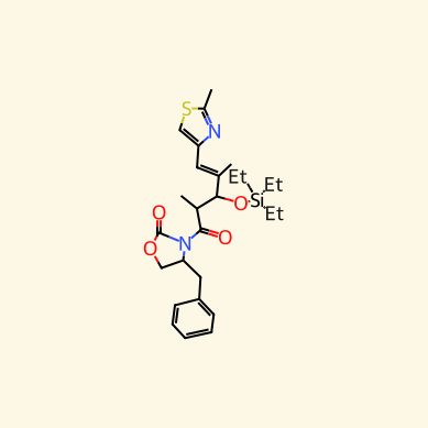 CC[Si](CC)(CC)OC(C(C)=Cc1csc(C)n1)C(C)C(=O)N1C(=O)OCC1Cc1ccccc1